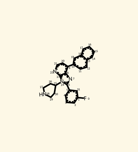 Fc1cccc(-c2nc3c(-c4ccc5ccccc5c4)ccnc3n2C2CCNCC2)c1